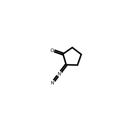 [N-]=[N+]=C1CCCC1=O